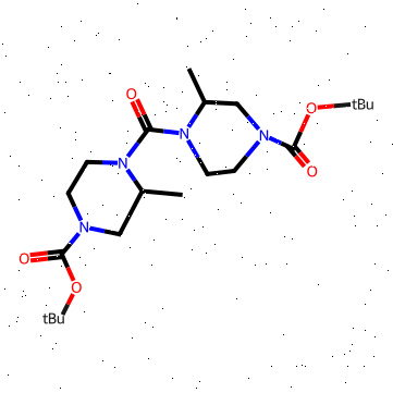 CC1CN(C(=O)OC(C)(C)C)CCN1C(=O)N1CCN(C(=O)OC(C)(C)C)CC1C